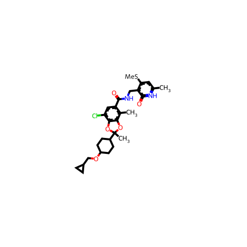 CSc1cc(C)[nH]c(=O)c1CNC(=O)c1cc(Cl)c2c(c1C)OC(C)(C1CCC(OCC3CC3)CC1)O2